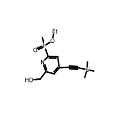 CCOP(C)(=O)c1cc(C#C[Si](C)(C)C)cc(CO)n1